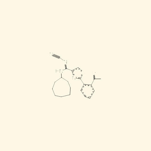 CC(=O)c1ccccc1-c1nc(/C(=N/C#N)NC2CCCCCCC2)cs1